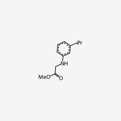 COC(=O)CNc1cccc(C(C)C)c1